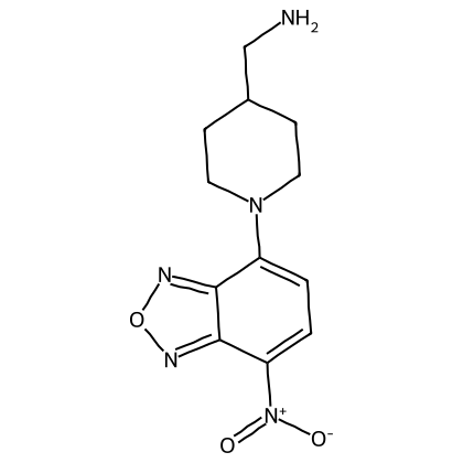 NCC1CCN(c2ccc([N+](=O)[O-])c3nonc23)CC1